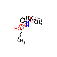 CCCCCC(O)CS(=O)(=O)c1ccccc1NC(=O)OC(C)(C)C